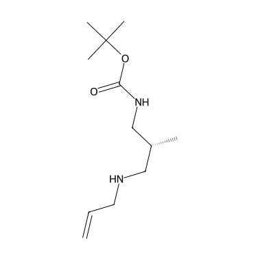 C=CCNC[C@@H](C)CNC(=O)OC(C)(C)C